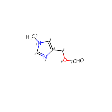 Cn1cnc(COC=O)c1